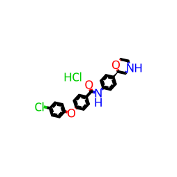 Cl.O=C(Nc1ccc([C@@H]2CNCCO2)cc1)c1ccc(Oc2ccc(Cl)cc2)cc1